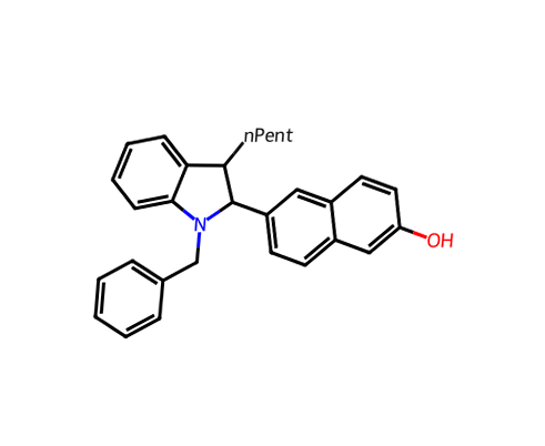 CCCCCC1c2ccccc2N(Cc2ccccc2)C1c1ccc2cc(O)ccc2c1